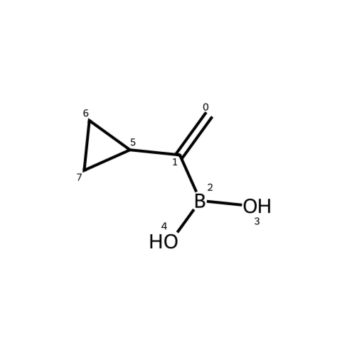 C=C(B(O)O)C1CC1